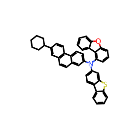 c1ccc2c(c1)oc1cccc(N(c3ccc4c(ccc5cc(C6CCCCC6)ccc54)c3)c3ccc4c(c3)sc3ccccc34)c12